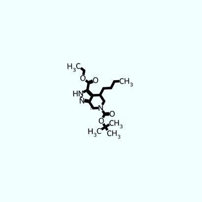 CCCCC1CN(C(=O)OC(C)(C)C)[C]c2n[nH]c(C(=O)OCC)c21